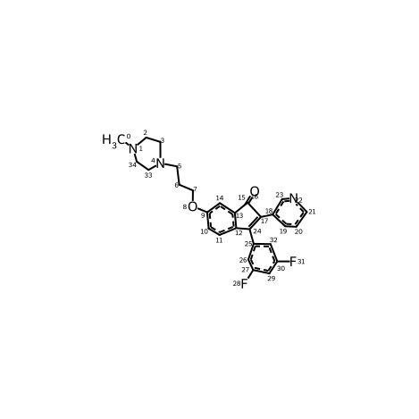 CN1CCN(CCCOc2ccc3c(c2)C(=O)C(c2cccnc2)=C3c2cc(F)cc(F)c2)CC1